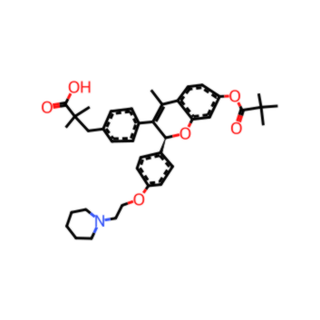 CC1=C(c2ccc(CC(C)(C)C(=O)O)cc2)[C@H](c2ccc(OCCN3CCCCC3)cc2)Oc2cc(OC(=O)C(C)(C)C)ccc21